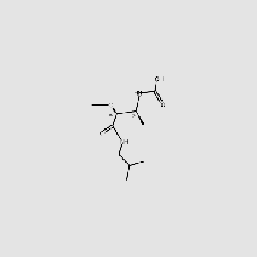 CO[C@H](C(=O)NCC(C)C)[C@H](C)NC(=O)O